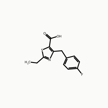 CCc1nc(Cc2ccc(F)cc2)c(C(=O)O)s1